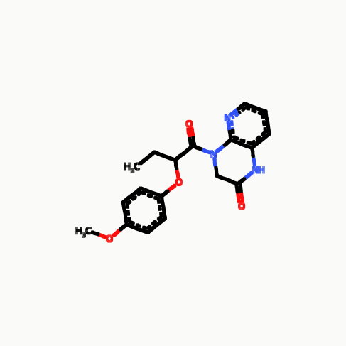 CCC(Oc1ccc(OC)cc1)C(=O)N1CC(=O)Nc2cccnc21